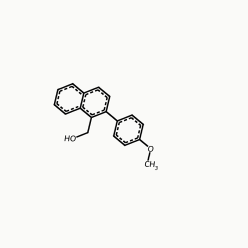 COc1ccc(-c2ccc3ccccc3c2CO)cc1